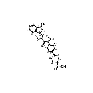 O=C1O[C@]2(CCN(C(=O)C3(c4ccc(N5CCN(C(=O)O)CC5)cc4F)CC3)C2)c2ccncc21